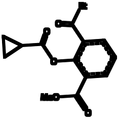 CCC(=O)c1cccc(C(=O)OC)c1OC(=O)C1CC1